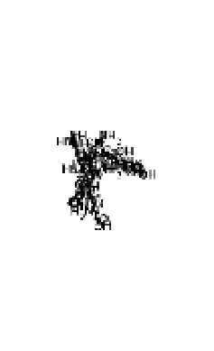 C[C@H](NC(=O)[C@@H](N)CCC(=O)O)C(=O)N[C@@H](Cc1ccccc1)C(=O)N[C@@H](Cc1c[nH]cn1)C(=O)N[C@@H](CS)C(=O)N[C@@H](CCCNC(=N)N)C(=O)N[C@@H](CCCCN)C(=O)N[C@@H](CC(N)=O)C(=O)N[C@@H](CO)C(=O)N[C@@H](Cc1ccc(O)cc1)C(=O)O